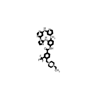 CCN1CCN(Cc2ccc(C(=O)Nc3ccc(C)c([AsH]c4nccn4-c4cc(Nc5ccccn5)ncn4)c3)cc2C(F)(F)F)CC1